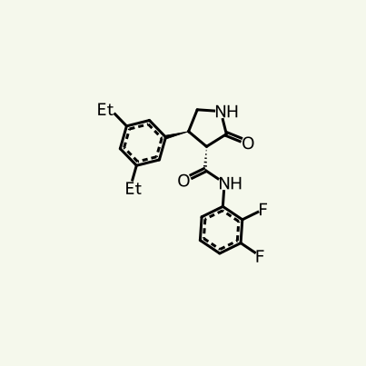 CCc1cc(CC)cc([C@H]2CNC(=O)[C@@H]2C(=O)Nc2cccc(F)c2F)c1